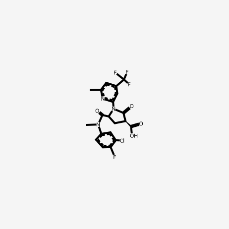 Cc1cc(C(F)(F)F)cc(N2C(=O)[C@@H](C(=O)O)CC2C(=O)N(C)c2ccc(F)c(Cl)c2)n1